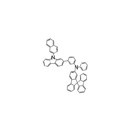 c1ccc(N(c2cccc(-c3ccc4c5ccccc5n(-c5ccc6ccccc6c5)c4c3)c2)c2ccc3c(c2)C2(c4ccccc4-c4ccccc42)c2ccccc2-3)cc1